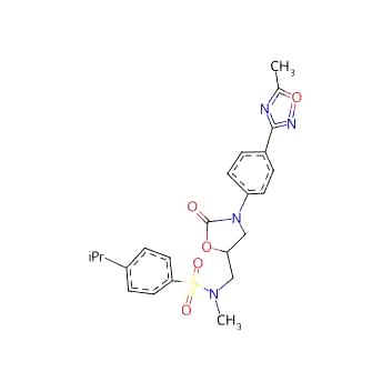 Cc1nc(-c2ccc(N3CC(CN(C)S(=O)(=O)c4ccc(C(C)C)cc4)OC3=O)cc2)no1